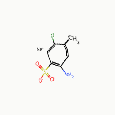 Cc1cc(N)c(S(=O)(=O)[O-])cc1Cl.[Na+]